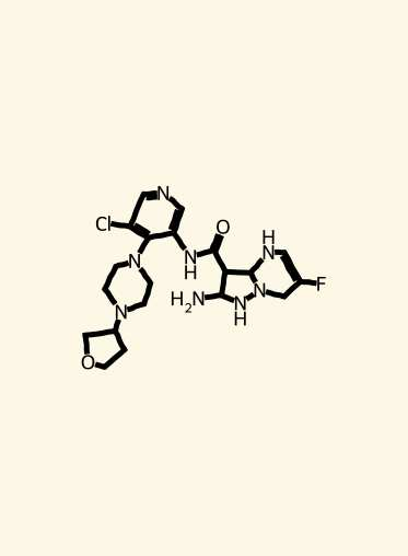 NC1NN2CC(F)=CNC2C1C(=O)Nc1cncc(Cl)c1N1CCN(C2CCOC2)CC1